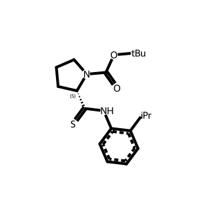 CC(C)c1ccccc1NC(=S)[C@@H]1CCCN1C(=O)OC(C)(C)C